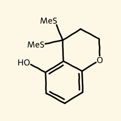 CSC1(SC)CCOc2cccc(O)c21